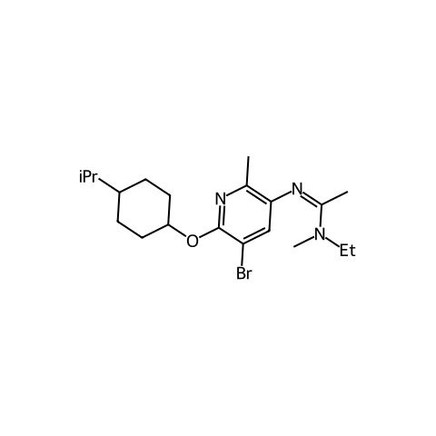 CCN(C)C(C)=Nc1cc(Br)c(OC2CCC(C(C)C)CC2)nc1C